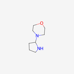 C1CNC(N2CCOCC2)C1